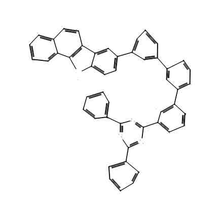 c1ccc(-c2nc(-c3ccccc3)nc(-c3cccc(-c4cccc(-c5cccc(-c6ccc7oc8c9ccccc9ccc8c7c6)c5)c4)c3)n2)cc1